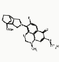 CNC12CCC(C1)C1CN(c3c(F)cc4c(=O)c(OC(=O)O)cn5c4c3OCN5C)CC12